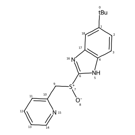 CC(C)(C)c1ccc2[nH]c([S+]([O-])Cc3ccccn3)nc2c1